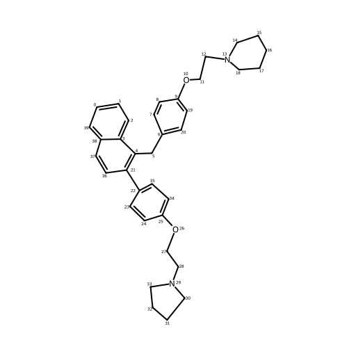 c1ccc2c(Cc3ccc(OCCN4CCCCC4)cc3)c(-c3ccc(OCCN4CCCC4)cc3)ccc2c1